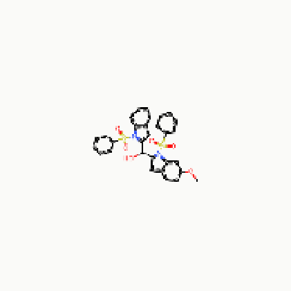 COc1ccc2cc(C(O)c3cc4ccccc4n3S(=O)(=O)c3ccccc3)n(S(=O)(=O)c3ccccc3)c2c1